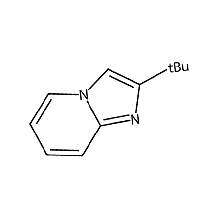 CC(C)(C)c1cn2ccccc2n1